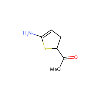 COC(=O)C1CC=C(N)S1